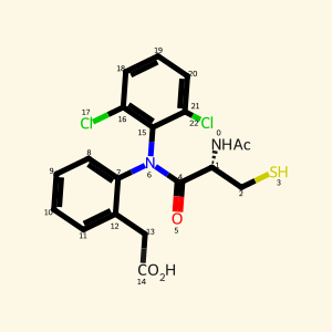 CC(=O)N[C@H](CS)C(=O)N(c1ccccc1CC(=O)O)c1c(Cl)cccc1Cl